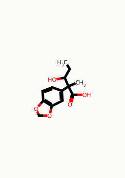 CCC(O)C(C)(C(=O)O)c1ccc2c(c1)OCO2